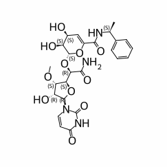 CO[C@H]1[C@@H](O)[C@H](n2ccc(=O)[nH]c2=O)O[C@@H]1[C@@H](O[C@H]1OC(C(=O)N[C@@H](C)c2ccccc2)=C[C@H](O)[C@@H]1O)C(N)=O